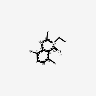 CCn1c(C)nc2c(F)ccc(C)c2c1=O